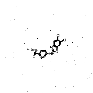 O=C(NO)c1ccc(Nc2nc3cc(Cl)c(Cl)cc3o2)cn1